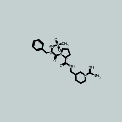 CS(=O)(=O)N[C@H](Cc1ccccc1)C(=O)N1CCC[C@H]1C(=O)NCC1CCCN(C(=N)N)C1